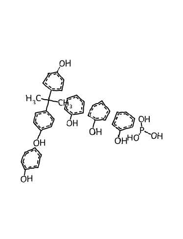 CC(C)(c1ccc(O)cc1)c1ccc(O)cc1.OP(O)O.Oc1ccccc1.Oc1ccccc1.Oc1ccccc1.Oc1ccccc1